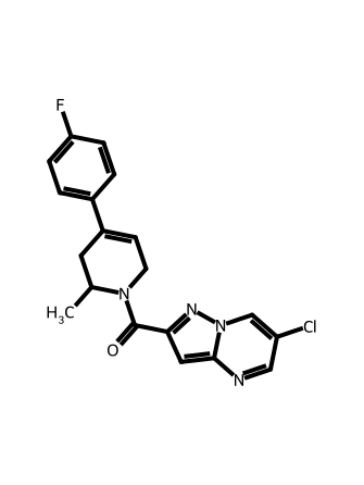 CC1CC(c2ccc(F)cc2)=CCN1C(=O)c1cc2ncc(Cl)cn2n1